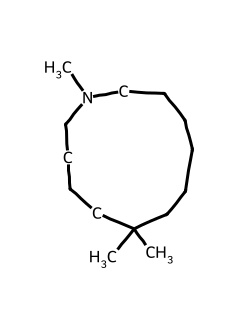 CN1CCCCCCC(C)(C)CCCC1